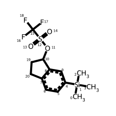 C[Si](C)(C)c1ccc2c(c1)C(OS(=O)(=O)C(F)(F)F)CC2